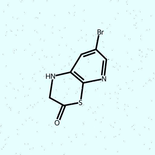 O=C1CNc2cc(Br)[c]nc2S1